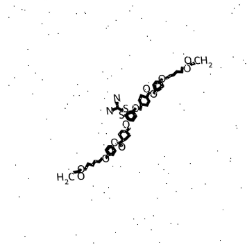 C=CC(=O)OCCCCCCOc1ccc(OC(=O)C2CCC(COc3ccc(OCC4CCC(C(=O)Oc5ccc(OCCCCCCOC(=O)C=C)cc5)CC4)c4c3SC(C(C#N)C#N)S4)CC2)cc1